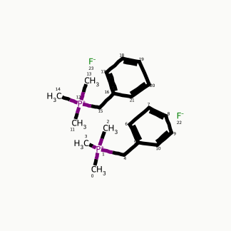 C[P+](C)(C)Cc1ccccc1.C[P+](C)(C)Cc1ccccc1.[F-].[F-]